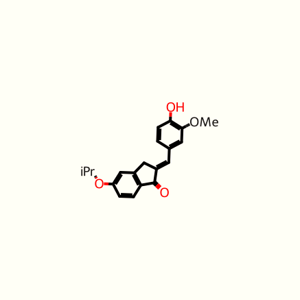 COc1cc(/C=C2\Cc3cc(OC(C)C)ccc3C2=O)ccc1O